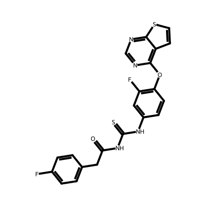 O=C(Cc1ccc(F)cc1)NC(=S)Nc1ccc(Oc2ncnc3sccc23)c(F)c1